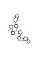 c1ccc2cc(-c3ccc(N(c4cccc5c4sc4ccc6oc7c8ccccc8ccc7c6c45)c4cccc5oc6ccccc6c45)cc3)ccc2c1